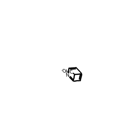 O=[C]C1c2ccnc1c2